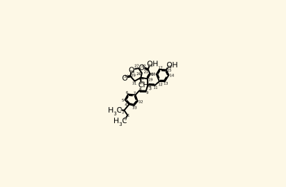 CCC(C)c1ccc(C=CC(=Cc2ccc(O)cc2)C(=CC(=O)O)C2(C)CCOC(=O)C2)cc1